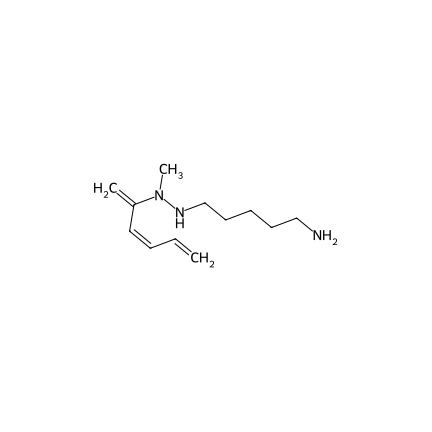 C=C/C=C\C(=C)N(C)NCCCCCN